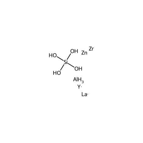 O[Si](O)(O)O.[AlH3].[La].[Y].[Zn].[Zr]